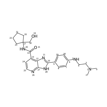 CN(C)CCNc1ccc(-c2nc3c(C(=O)NC4(CO)CCCC4)ccnc3[nH]2)cc1